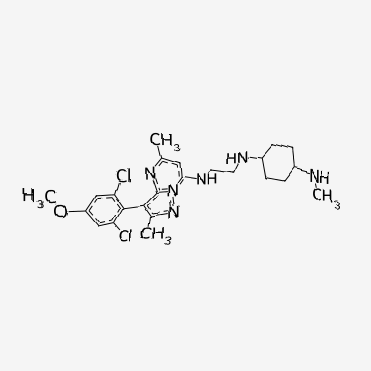 CNC1CCC(NCCNc2cc(C)nc3c(-c4c(Cl)cc(OC)cc4Cl)c(C)nn23)CC1